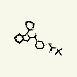 CC(C)(C)OC(=O)N[C@@H]1CCCN(C(=O)C2Cc3ccccc3N2c2ncccn2)C1